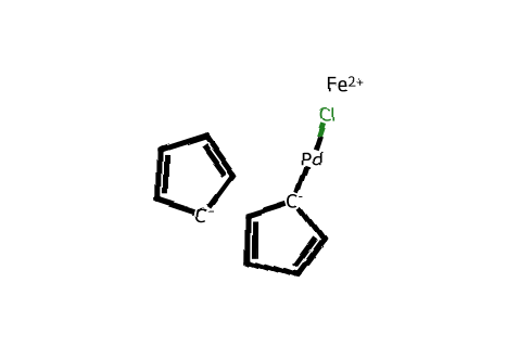 [Cl][Pd][c-]1cccc1.[Fe+2].c1cc[cH-]c1